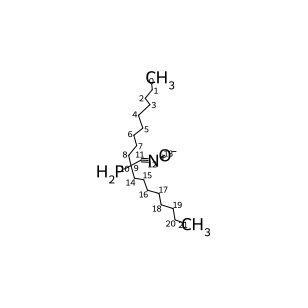 CCCCCCCCCC(P)(C#[N+][O-])CCCCCCCC